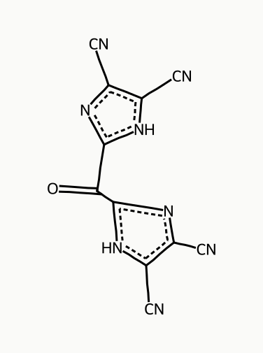 N#Cc1nc(C(=O)c2nc(C#N)c(C#N)[nH]2)[nH]c1C#N